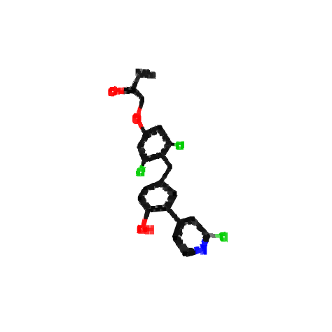 CNC(=O)COc1cc(Cl)c(Cc2ccc(O)c(-c3ccnc(Cl)c3)c2)c(Cl)c1